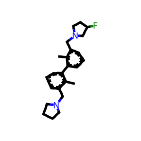 Cc1c(CN2CCCC2)cccc1-c1cccc(CN2CCC(F)C2)c1C